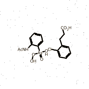 CC(=O)Nc1ccccc1[As](=O)(O)OO.O=C(O)CCc1ccccc1Cl